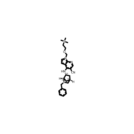 C[Si](C)(C)CCOCn1ccc2c(N[C@@H]3C[C@H]4C[C@@H]3N(Cc3ccccc3)C4)c(C#N)cnc21